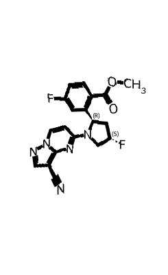 COC(=O)c1ccc(F)cc1[C@H]1C[C@H](F)CN1c1ccn2ncc(C#N)c2n1